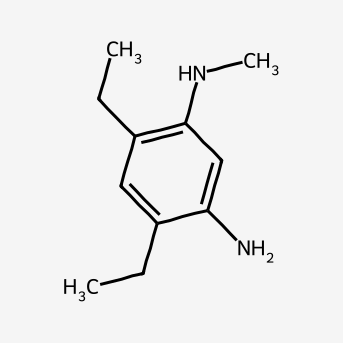 CCc1cc(CC)c(NC)cc1N